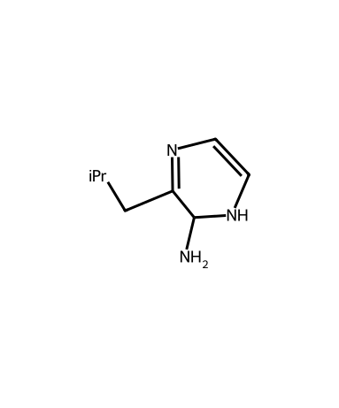 CC(C)CC1=NC=CNC1N